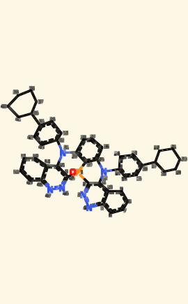 O=P12c3nnc4ccccc4c3N(c3ccc(C4CCCCC4)cc3)c3cccc(c31)N(c1ccc(C3CCCCC3)cc1)c1c2nnc2ccccc12